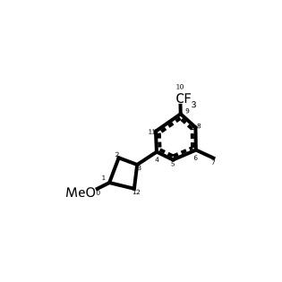 COC1CC(c2cc(C)cc(C(F)(F)F)c2)C1